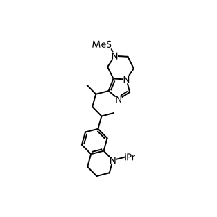 CSN1CCn2cnc(C(C)CC(C)c3ccc4c(c3)N(C(C)C)CCC4)c2C1